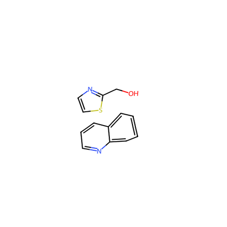 OCc1nccs1.c1ccc2ncccc2c1